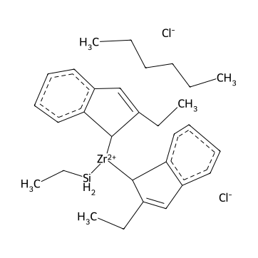 CCCCCC.CC[SiH2][Zr+2]([CH]1C(CC)=Cc2ccccc21)[CH]1C(CC)=Cc2ccccc21.[Cl-].[Cl-]